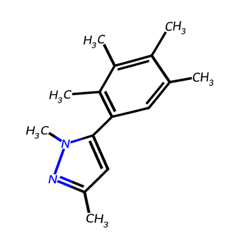 Cc1cc(-c2cc(C)c(C)c(C)c2C)n(C)n1